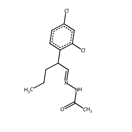 CCCC(/C=N/NC(C)=O)c1ccc(Cl)cc1Cl